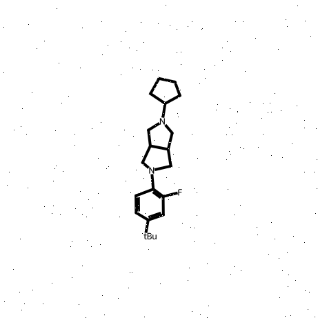 CC(C)(C)c1ccc(N2CC3CN(C4CCCC4)CC3C2)c(F)c1